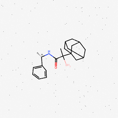 BC(C)(C(=O)N[C@@H](C)c1ccccc1)C12CC3CC(CC(C3)C1)C2